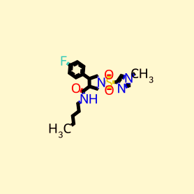 CCCCCNC(=O)C1CN(S(=O)(=O)c2cn(C)cn2)CC1c1ccc(F)cc1